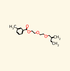 C=CC(=C)COCCOCCOC(=O)c1cccc(C)c1